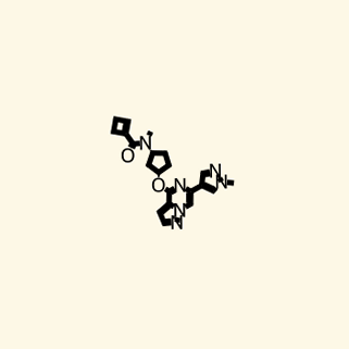 CN(C(=O)C1=CCC1)[C@@H]1CC[C@H](Oc2nc(-c3cnn(C)c3)cn3nccc23)C1